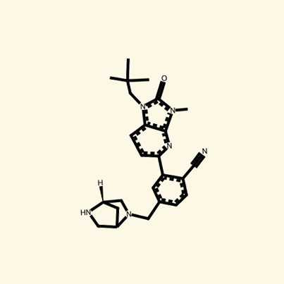 Cn1c(=O)n(CC(C)(C)C)c2ccc(-c3cc(CN4C[C@@H]5CC4CN5)ccc3C#N)nc21